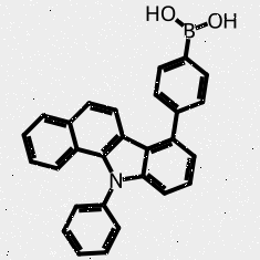 OB(O)c1ccc(-c2cccc3c2c2ccc4ccccc4c2n3-c2ccccc2)cc1